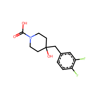 O=C(O)N1CCC(O)(Cc2ccc(F)c(F)c2)CC1